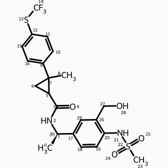 C[C@@H](NC(=O)C1CC1(C)c1ccc(SC(F)(F)F)cc1)c1ccc(NS(C)(=O)=O)c(CO)c1